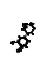 Fc1cc([C@H]2CCOPO2)ccc1Cl